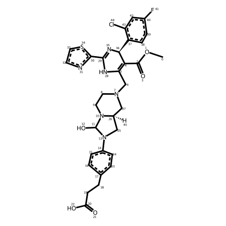 COC(=O)C1=C(CN2CCN3C(O)N(c4ccc(CCC(=O)O)cc4)C[C@@H]3C2)NC(c2nccs2)=N[C@H]1c1ccc(F)cc1Cl